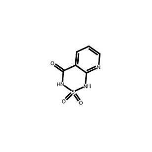 O=C1NS(=O)(=O)Nc2ncccc21